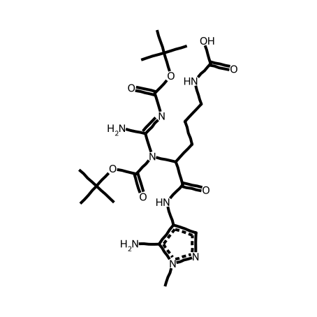 Cn1ncc(NC(=O)C(CCCNC(=O)O)N(C(=O)OC(C)(C)C)C(N)=NC(=O)OC(C)(C)C)c1N